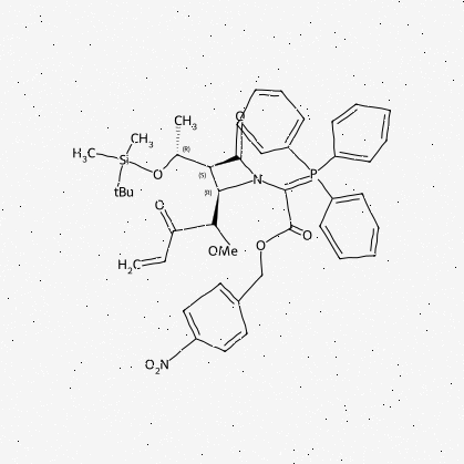 C=CC(=O)C(OC)[C@H]1[C@@H]([C@@H](C)O[Si](C)(C)C(C)(C)C)C(=O)N1C(C(=O)OCc1ccc([N+](=O)[O-])cc1)=P(c1ccccc1)(c1ccccc1)c1ccccc1